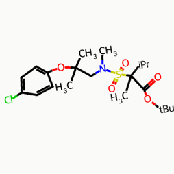 CC(C)C(C)(C(=O)OC(C)(C)C)S(=O)(=O)N(C)CC(C)(C)Oc1ccc(Cl)cc1